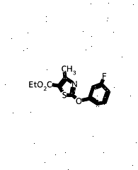 CCOC(=O)c1sc(Oc2cccc(F)c2)nc1C